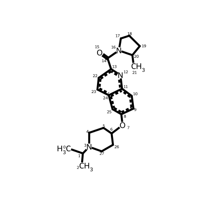 CC(C)N1CCC(Oc2ccc3nc(C(=O)N4CCCC4C)ccc3c2)CC1